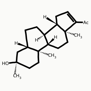 CC(=O)C1=CC[C@H]2[C@@H]3CC[C@H]4C[C@](C)(O)CC[C@]4(C)[C@H]3CC[C@]12C